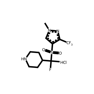 Cl.Cn1cc(S(=O)(=O)C(C)(F)C2CCNCC2)c(C(F)(F)F)n1